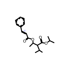 CC(C)OC(=O)C(C(C)C)C(C)OC(=O)/C=C/c1ccccc1